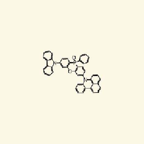 O=P1(c2ccccc2)c2ccc(N3c4ccccc4-c4cccc5cccc3c45)cc2Oc2cc(-n3c4ccccc4c4ccccc43)ccc21